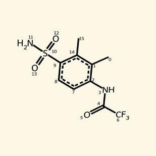 Cc1c(NC(=O)C(F)(F)F)ccc(S(N)(=O)=O)c1C